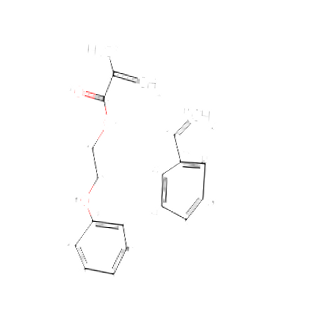 C=C(C)C(=O)OCCOc1ccccc1.C=Cc1ccccc1